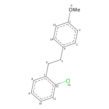 COc1ccc(CCc2ccccc2Cl)cc1